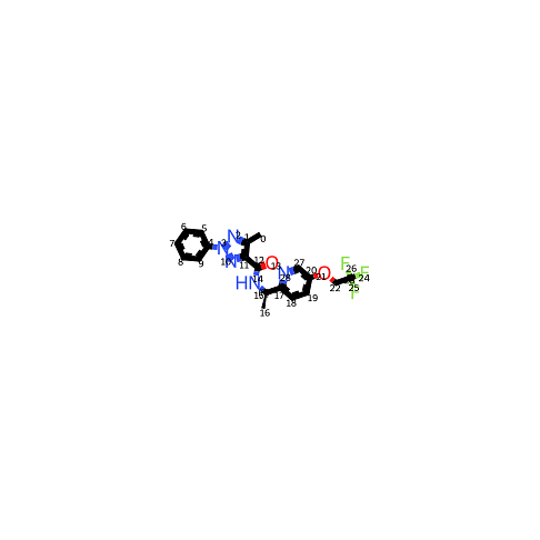 Cc1nn(-c2ccccc2)nc1C(=O)N[C@H](C)c1ccc(OCC(F)(F)F)cn1